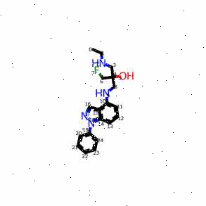 CCNCC(O)(CF)CNc1cccc2c1cnn2-c1ccccc1